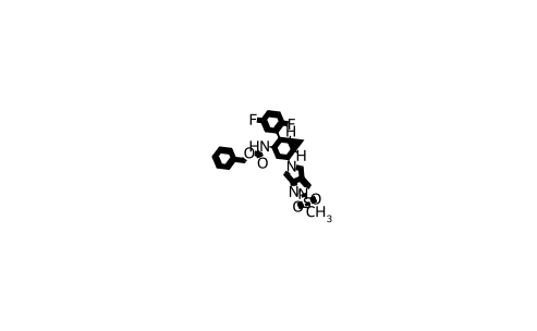 CS(=O)(=O)n1cc2c(n1)CN([C@@H]1C[C@H](NC(=O)OCc3ccccc3)[C@@H](c3cc(F)ccc3F)[C@H]3C[C@H]31)C2